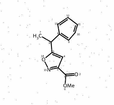 COC(=O)c1cc(C(C)c2ccccc2)on1